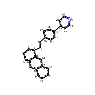 C(=C\c1cccc2cc3ccccc3cc12)/c1ccc(-c2ccncc2)cc1